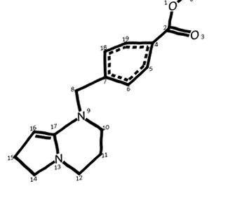 CCCCOC(=O)c1ccc(CN2CCCN3CCC=C32)cc1